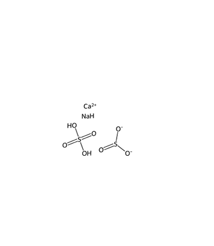 O=S(=O)(O)O.O=S([O-])[O-].[Ca+2].[NaH]